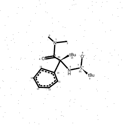 CN(C)C(=O)[C@](N[S@@+]([O-])C(C)(C)C)(c1ccccc1)C(C)(C)C